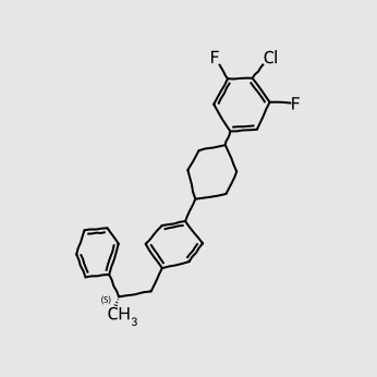 C[C@@H](Cc1ccc(C2CCC(c3cc(F)c(Cl)c(F)c3)CC2)cc1)c1ccccc1